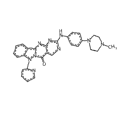 CN1CCN(c2ccc(Nc3ncc4c(=O)n5c(nc4n3)c3ccccc3n5-c3ccccn3)cc2)CC1